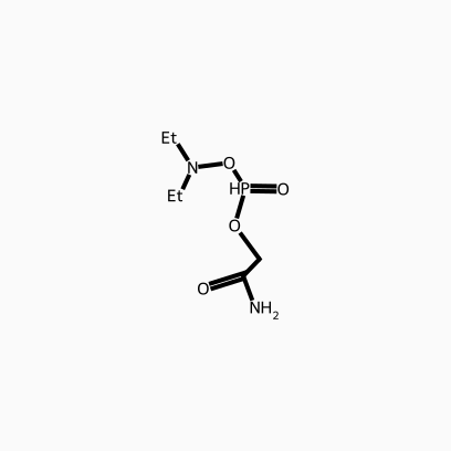 CCN(CC)O[PH](=O)OCC(N)=O